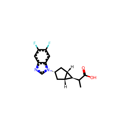 CC(C(=O)O)[C@H]1[C@@H]2C[C@H](n3cnc4cc(F)c(F)cc43)C[C@@H]21